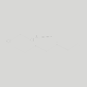 CC(C)=O.CCCCCCC.ClCCl